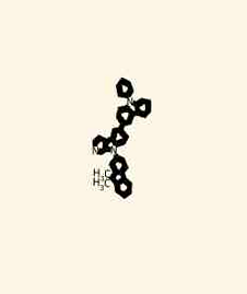 CC1(C)c2ccccc2-c2ccc(-n3c4ccc(-c5ccc6c(c5)c5ccccc5n6-c5ccccc5)cc4c4ccncc43)cc21